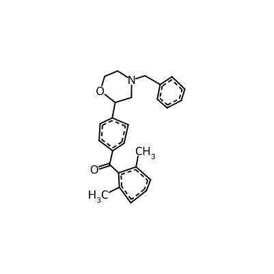 Cc1cccc(C)c1C(=O)c1ccc(C2CN(Cc3ccccc3)CCO2)cc1